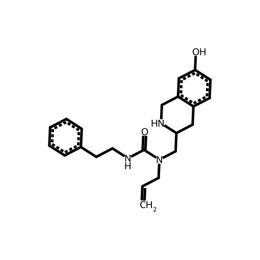 C=CCN(CC1Cc2ccc(O)cc2CN1)C(=O)NCCc1ccccc1